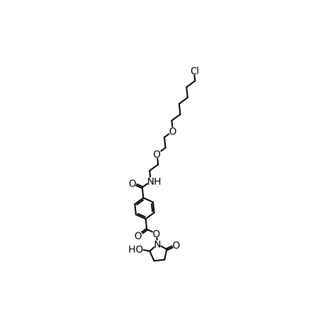 O=C(NCCOCCOCCCCCCCl)c1ccc(C(=O)ON2C(=O)CCC2O)cc1